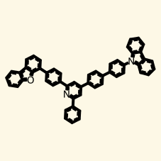 c1ccc(-c2cc(-c3ccc(-c4ccc(-n5c6ccccc6c6ccccc65)cc4)cc3)cc(-c3ccc(-c4cccc5c4oc4ccccc45)cc3)n2)cc1